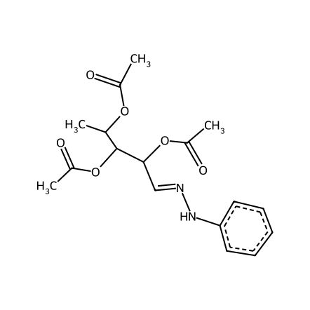 CC(=O)OC(C)C(OC(C)=O)C(C=NNc1ccccc1)OC(C)=O